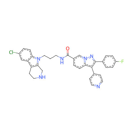 O=C(NCCCn1c2c(c3cc(Cl)ccc31)CCNC2)c1ccc2c(-c3ccncc3)c(-c3ccc(F)cc3)nn2c1